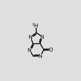 [2H]C1=NC2=NC=NC(=O)C2=N1